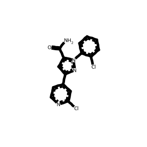 NC(=O)c1cc(-c2ccnc(Cl)c2)nn1-c1ccccc1Cl